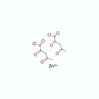 CC(=O)CC(=O)C(=O)[O-].CC(=O)CC(=O)C(=O)[O-].[Zn+2]